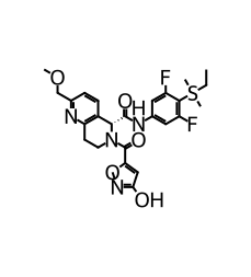 CCS(C)(C)c1c(F)cc(NC(=O)[C@H]2c3ccc(COC)nc3CCN2C(=O)c2cc(O)no2)cc1F